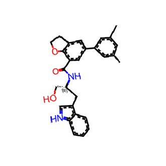 Cc1cc(C)cc(-c2cc3c(c(C(=O)N[C@@H](CO)Cc4c[nH]c5ccccc45)c2)OCC3)c1